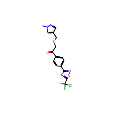 Cn1cc(CSCC(=O)c2ccc(-c3noc(C(F)(F)Cl)n3)cc2)cn1